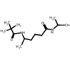 CC(C)NC(=O)CCCC(C)NC(=O)C(C)(C)C